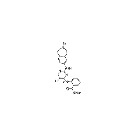 CCN1CCc2ccc([AsH]c3ncc(Cl)c(Nc4ccccc4C(=O)NC)n3)cc2CC1